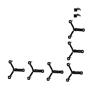 O=[N+]([O-])[O-].O=[N+]([O-])[O-].O=[N+]([O-])[O-].O=[N+]([O-])[O-].O=[N+]([O-])[O-].O=[N+]([O-])[O-].[Bi+3].[Bi+3]